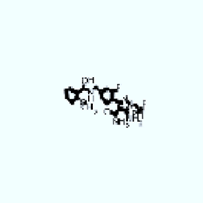 COc1ccccc1C(O)NCc1ccc(-c2nn(CC(F)(F)F)c(N)c2C(N)=O)c(F)c1